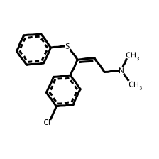 CN(C)CC=C(Sc1ccccc1)c1ccc(Cl)cc1